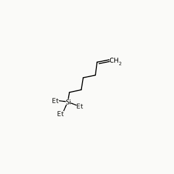 C=CCCCC[Si](CC)(CC)CC